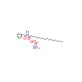 CC(=O)O.CCCCCCCCCCCCCCCCCC(=O)NC(=O)Cc1ccccc1.CCCN(C)C